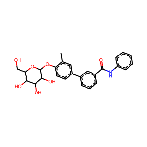 Cc1cc(-c2cccc(C(=O)Nc3ccccc3)c2)ccc1OC1OC(CO)C(O)C(O)C1O